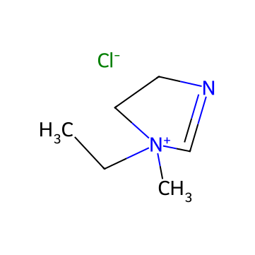 CC[N+]1(C)C=NCC1.[Cl-]